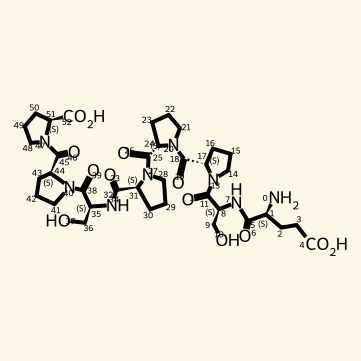 N[C@@H](CCC(=O)O)C(=O)N[C@@H](CO)C(=O)N1CCC[C@H]1C(=O)N1CCC[C@H]1C(=O)N1CCC[C@H]1C(=O)N[C@@H](CO)C(=O)N1CCC[C@H]1C(=O)N1CCC[C@H]1C(=O)O